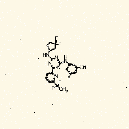 CC(F)(F)c1cccc(-c2nc(Nc3cc(F)cc(C#N)c3)nc(NC3CCC(F)(F)C3)n2)n1